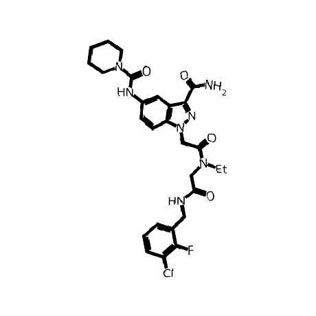 CCN(CC(=O)NCc1cccc(Cl)c1F)C(=O)Cn1nc(C(N)=O)c2cc(NC(=O)N3CCCCC3)ccc21